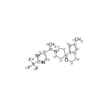 Cc1cc2c(s1)C1(CCN(C(C)c3cnc(C(F)(F)F)nc3)CC1)OCC2